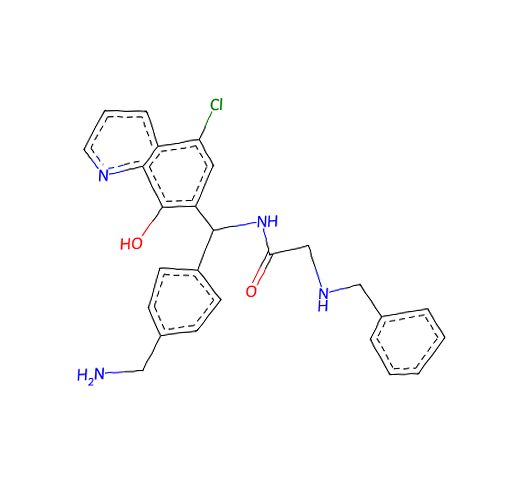 NCc1ccc(C(NC(=O)CNCc2ccccc2)c2cc(Cl)c3cccnc3c2O)cc1